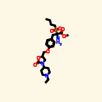 CCCCS(=O)(=O)C(N)(Cc1ccc(OCC2CN(C3CCN(CC)CC3)C(=O)O2)cc1)C(=O)OC